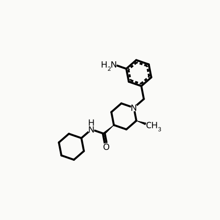 C[C@H]1C[C@@H](C(=O)NC2CCCCC2)CCN1Cc1cccc(N)c1